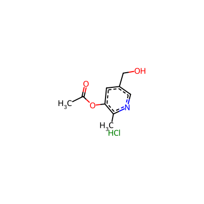 CC(=O)Oc1cc(CO)cnc1C.Cl